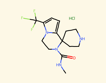 CNC(=O)N1CCn2c(C(F)(F)F)ccc2C12CCNCC2.Cl